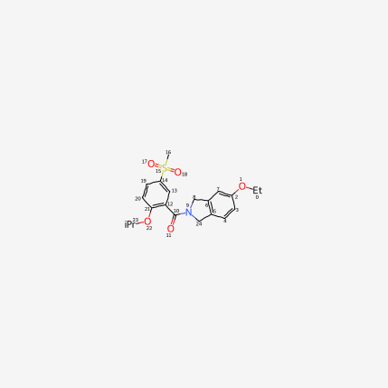 CCOc1ccc2c(c1)CN(C(=O)c1cc(S(C)(=O)=O)ccc1OC(C)C)C2